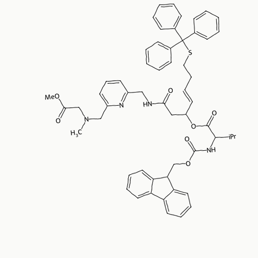 COC(=O)CN(C)Cc1cccc(CNC(=O)CC(C=CCCSC(c2ccccc2)(c2ccccc2)c2ccccc2)OC(=O)C(NC(=O)OCC2c3ccccc3-c3ccccc32)C(C)C)n1